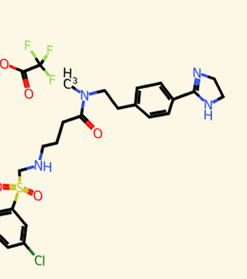 CN(CCc1ccc(C2=NCCN2)cc1)C(=O)CCCNCS(=O)(=O)c1cccc(Cl)c1.O=C(O)C(F)(F)F